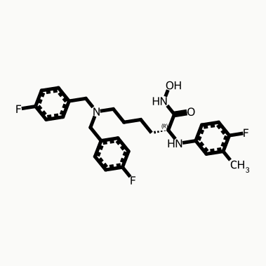 Cc1cc(N[C@H](CCCCN(Cc2ccc(F)cc2)Cc2ccc(F)cc2)C(=O)NO)ccc1F